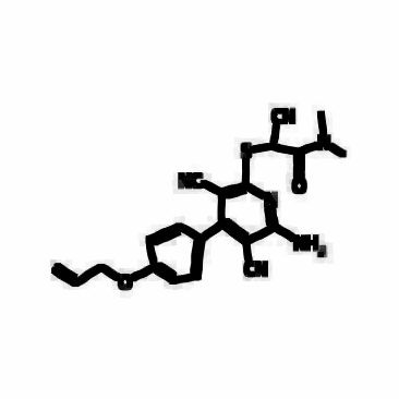 C=CCOc1ccc(-c2c(C#N)c(N)nc(SC(C#N)C(=O)N(C)C)c2C#N)cc1